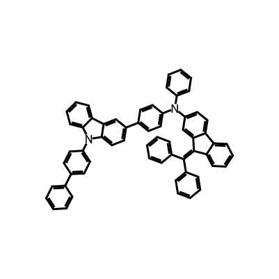 c1ccc(C(=C2c3ccccc3-c3ccc(N(c4ccccc4)c4ccc(-c5ccc6c(c5)c5ccccc5n6-c5ccc(-c6ccccc6)cc5)cc4)cc32)c2ccccc2)cc1